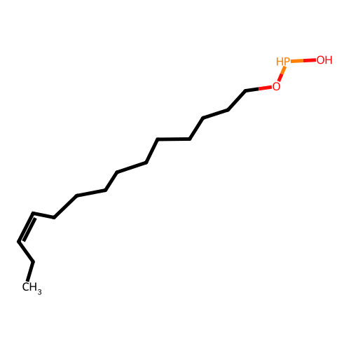 CC/C=C\CCCCCCCCCCOPO